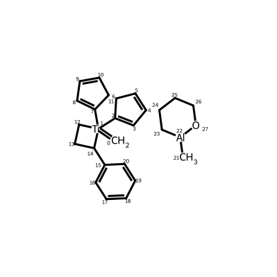 [CH2]=[Ti]1([C]2=CC=CC2)([C]2=CC=CC2)[CH2]C[CH]1c1ccccc1.[CH3][Al]1[CH2]CCC[O]1